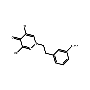 COc1cccc(CCn2cc(O)c(=O)c(C(C)=O)n2)c1